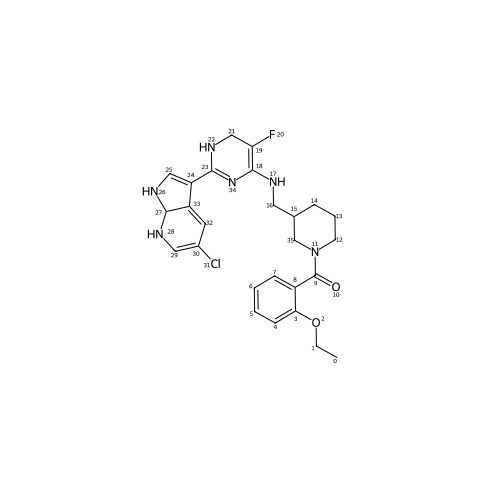 CCOc1ccccc1C(=O)N1CCCC(CNC2=C(F)CNC(C3=CNC4NC=C(Cl)C=C34)=N2)C1